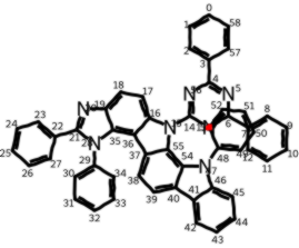 c1ccc(-c2nc(-c3ccccc3)nc(-n3c4ccc5nc(-c6ccccc6)n(-c6ccccc6)c5c4c4ccc5c6ccccc6n(-c6ccccc6)c5c43)n2)cc1